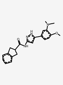 COc1ccc(-c2cc(NC(=O)C3Cc4ccccc4C3)n[nH]2)cc1N(C)C